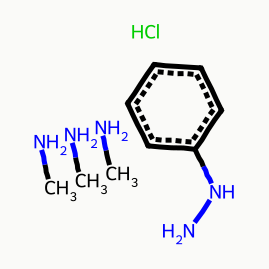 CN.CN.CN.Cl.NNc1ccccc1